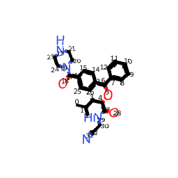 CC(C)CC(OC(c1ccccc1)c1ccc(C(=O)N2CCNCC2)cc1)C(=O)NCC#N